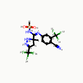 CC1(/C(=N\c2ccc(C#N)c(C(F)(F)F)c2)NS(C)(=O)=O)CC(C(F)(F)F)=NN1